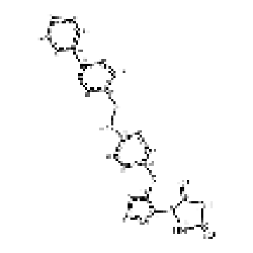 O=C1NC(=O)C(c2occc2Sc2ccc(OCc3ccc(-c4ccccc4)cc3)cc2)N1